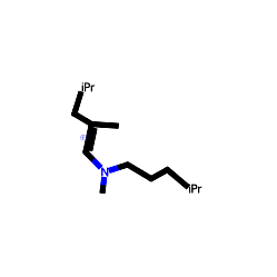 C/C(=C\N(C)CCCC(C)C)CC(C)C